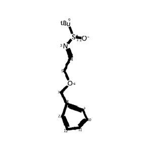 CC(C)(C)[S+]([O-])/N=C/COCc1ccccc1